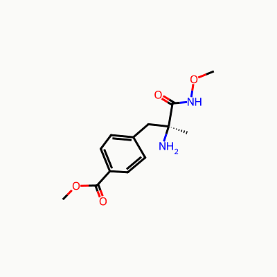 CONC(=O)[C@@](C)(N)Cc1ccc(C(=O)OC)cc1